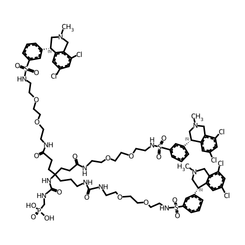 CN1Cc2c(Cl)cc(Cl)cc2[C@H](c2cccc(S(=O)(=O)NCCOCCOCCNC(=O)CCC(CCCNC(=O)NCCOCCOCCNS(=O)(=O)c3cccc([C@@H]4CN(C)Cc5c(Cl)cc(Cl)cc54)c3)(CCC(=O)NCCOCCOCCNS(=O)(=O)c3cccc([C@@H]4CN(C)Cc5c(Cl)cc(Cl)cc54)c3)NC(=O)NCP(=O)(O)O)c2)C1